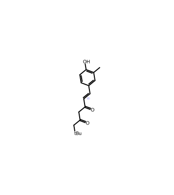 Cc1cc(/C=C/C(=O)CC(=O)CC(C)(C)C)ccc1O